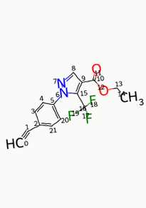 C#Cc1ccc(-n2ncc(C(=O)OCC)c2C(F)(F)F)cc1